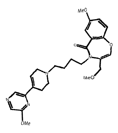 COCC1=COc2ccc(OC)cc2C(=O)N1CCCCN1CC=C(c2cncc(OC)n2)CC1